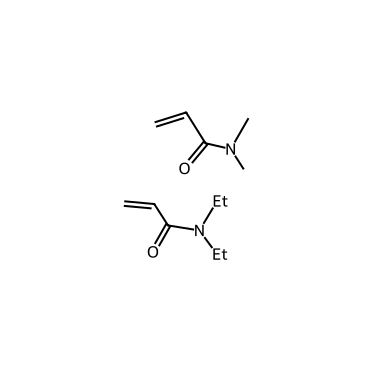 C=CC(=O)N(C)C.C=CC(=O)N(CC)CC